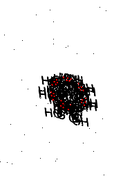 CS(=O)(=O)OC[C@H]1O[C@@H]2O[C@H]3[C@H](O)[C@@H](O)[C@@H](OC4[C@@H](COS(=O)(=O)O)O[C@H](O[C@H]5[C@H](O)[C@@H](O)[C@@H](O[C@H]6[C@H](O)[C@@H](O)[C@@H](O[C@H]7[C@H](O)[C@@H](O)[C@@H](O[C@H]8[C@H](O)[C@@H](O)[C@@H](O[C@H]1[C@H](O)[C@H]2O)O[C@@H]8COS(=O)(=O)O)O[C@@H]7COS(=O)(=O)O)O[C@@H]6COS(=O)(=O)O)O[C@@H]5COS(=O)(=O)O)[C@H](O)[C@H]4O)O[C@@H]3COS(=O)(=O)O